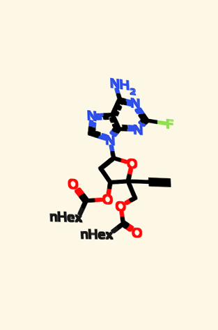 C#CC1(COC(=O)CCCCCC)OC(n2cnc3c(N)nc(F)nc32)CC1OC(=O)CCCCCC